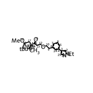 CCn1cc(-c2cccc(CCOCCC(=O)N(CC(OC)OC)C(C)C(C)(C)C)c2)cn1